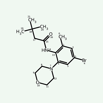 Cc1cc(Br)cc(N2CCOCC2)c1NC(=O)CC(C)(C)C